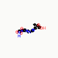 O=C1CCC(N2Cc3cc(N4CCN(CC5CCN(c6ccc([C@@H]7c8ccc(O)cc8OC[C@@H]7C7CCC7)cc6)CC5)CC4)ccc3C2=O)C(=O)N1